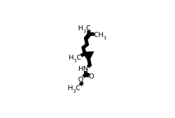 CCOC(=O)NCC1CC1(C)CCC=C(C)C